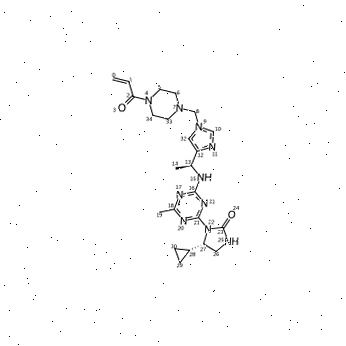 C=CC(=O)N1CCN(Cn2cnc([C@H](C)Nc3nc(C)nc(N4C(=O)NC[C@@H]4C4CC4)n3)c2)CC1